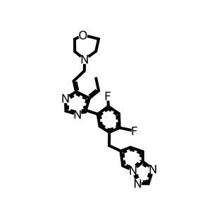 C/C=c1/c(-c2cc(Cc3ccc4ncnn4c3)c(F)cc2F)ncn/c1=C/CN1CCOCC1